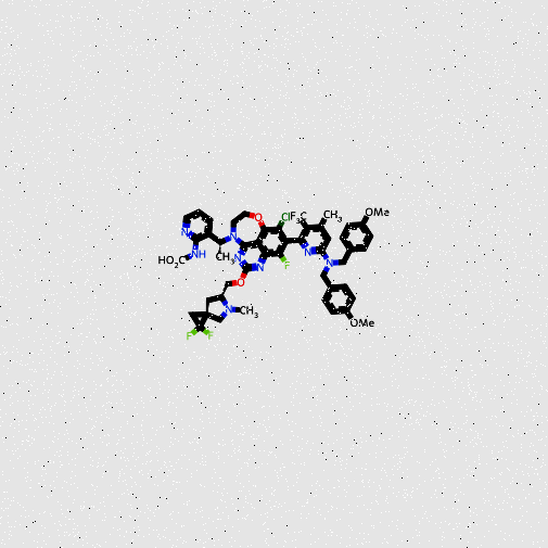 COc1ccc(CN(Cc2ccc(OC)cc2)c2cc(C)c(C(F)(F)F)c(-c3c(Cl)c4c5c(nc(OC[C@@H]6C[C@]7(CN6C)CC7(F)F)nc5c3F)N([C@H](C)c3cccnc3NC(=O)O)CCO4)n2)cc1